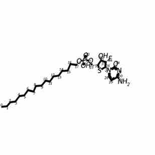 CCCCCCCCCCCCCCCCCCOP(=O)(O)OC[C@H]1S[C@@H](n2ccc(N)nc2=O)[C@@H](F)[C@@H]1O